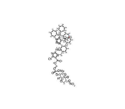 CCCCc1nc(Cl)c(C(=O)OCOP(=O)(OC)O[C@H]2CO[C@H]3[C@H]2OC[C@H]3O[N+](=O)[O-])n1Cc1ccc(-c2ccccc2-c2nnnn2C(c2ccccc2)(c2ccccc2)c2ccccc2)cc1